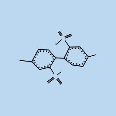 O=S(=O)(Cl)c1cc(Cl)ccc1-c1ccc(Cl)cc1S(=O)(=O)Cl